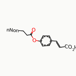 CCCCCCCCCCCC(=O)Oc1ccc(/C=C/C(=O)O)cc1